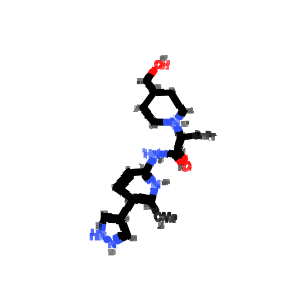 CCCC(C(=O)Nc1ccc(-c2cn[nH]c2)c(OC)n1)N1CCC(CO)CC1